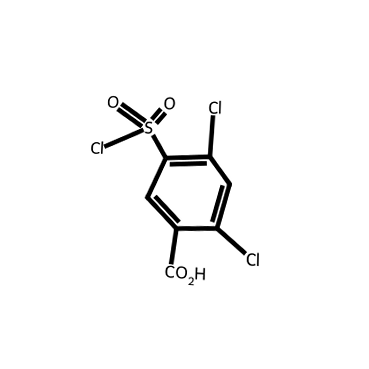 O=C(O)c1cc(S(=O)(=O)Cl)c(Cl)cc1Cl